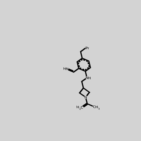 C=C(C)N1CC(CNc2ccc(CC(C)C)cc2C=N)C1